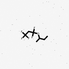 CCC(C)OC(F)(F)CC(F)(F)F